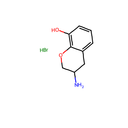 Br.NC1COc2c(O)cccc2C1